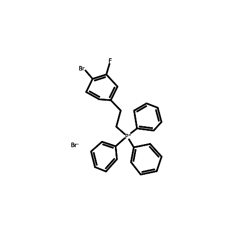 Fc1cc(CC[P+](c2ccccc2)(c2ccccc2)c2ccccc2)ccc1Br.[Br-]